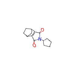 O=C1C2=C(C(=O)N1C1CCCC1)C1CCC2C1